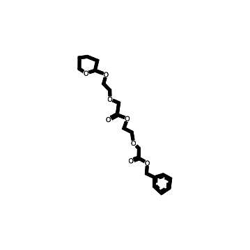 O=C(COCCOC1CCCCO1)OCCOCC(=O)OCc1ccccc1